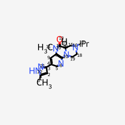 Cc1cc(-c2cnc3c(c2)N(C)C(=O)[C@@H]2CN(C(C)C)CCN32)n[nH]1